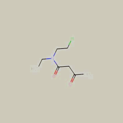 CCN(CCCl)C(=O)CC(C)=O